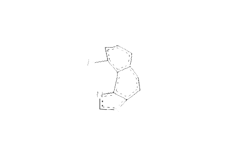 [Lr][c]1cccc2ccc3scnc3c12